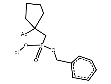 CCOP(=O)(CC1(C(C)=O)CCCC1)OCc1ccccc1